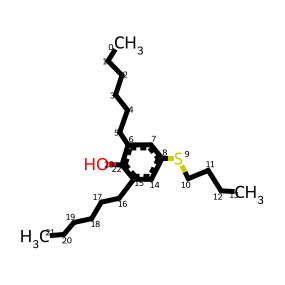 CCCCCCc1cc(SCCCC)cc(CCCCCC)c1O